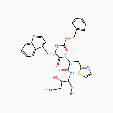 CCOC(=O)CC(O)C(CC(C)C)NC(=O)[C@H](Cc1nccs1)NC(=O)[C@H](Cc1cccc2ccccc12)NC(=O)OCc1ccccc1